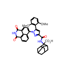 COc1cccc(OC)c1-c1cc(C(=O)NC2(C(=O)O)C3CC4CC(C3)CC2C4)nn1-c1ccc2c3c(cccc13)C(=O)NC2=O